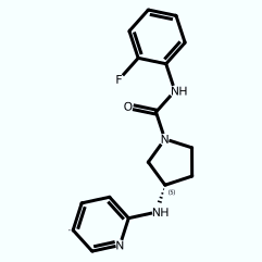 O=C(Nc1ccccc1F)N1CC[C@H](Nc2cc[c]cn2)C1